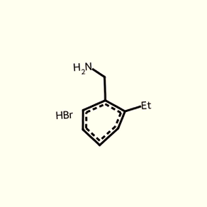 Br.CCc1ccccc1CN